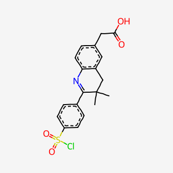 CC1(C)Cc2cc(CC(=O)O)ccc2N=C1c1ccc(S(=O)(=O)Cl)cc1